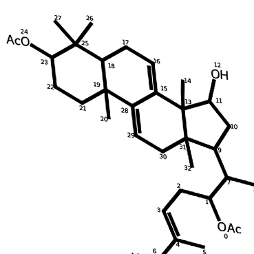 CC(=O)OC(C/C=C(\C)C(=O)O)C(C)C1CC(O)C2(C)C3=CCC4C(C)(CCC(OC(C)=O)C4(C)C)C3=CCC12C